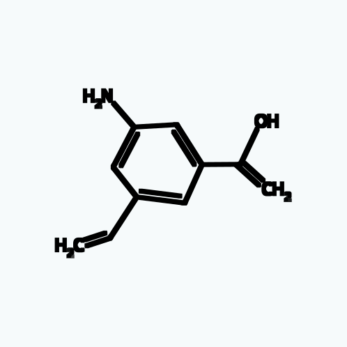 C=Cc1cc(N)cc(C(=C)O)c1